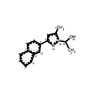 Cc1cc(-c2ccc3ccccc3c2)nn1C(C)O